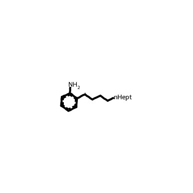 CCCCCCCCCC[CH]c1ccccc1N